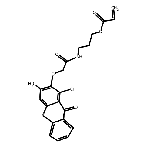 C=CC(=O)OCCCNC(=O)COc1c(C)cc2sc3ccccc3c(=O)c2c1C